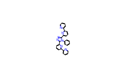 c1ccc(-n2c(-c3cccc(-c4ccccn4)n3)nnc2-c2cccc(-c3ccccn3)n2)cc1